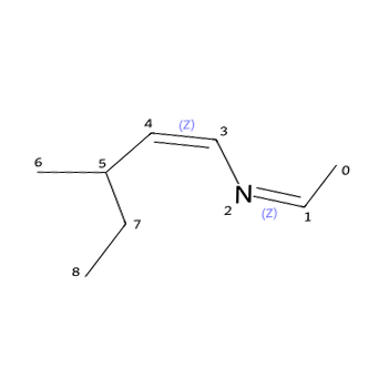 C/C=N\C=C/C(C)CC